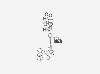 COC(=O)N[C@H](C(=O)N1CCC[C@H]1c1ncc(-c2ccc(C#CC#Cc3cnc([C@@H]4CCCN4C(=O)[C@H](NC(=O)OC)c4ccccc4)[nH]3)c(-c3ccccc3C)c2)[nH]1)C(C)C.Cl.Cl